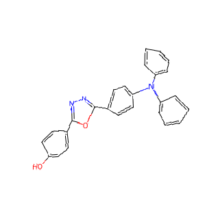 Oc1ccc(-c2nnc(-c3ccc(N(c4ccccc4)c4ccccc4)cc3)o2)cc1